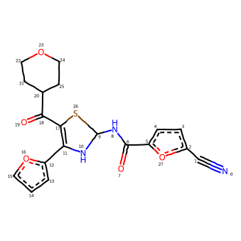 N#Cc1ccc(C(=O)NC2NC(c3ccco3)=C(C(=O)C3CCOCC3)S2)o1